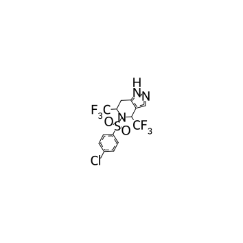 O=S(=O)(c1ccc(Cl)cc1)N1C(C(F)(F)F)Cc2[nH]ncc2C1C(F)(F)F